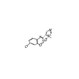 C[N+]1(Cl)C=NC=C1C([O-])=Nc1ccc(Cl)cc1Cl